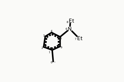 [CH2]c1cccc(N(CC)CC)c1